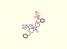 CC(C)(N)C(=O)N[C@H](COCc1ccccc1)C(=O)C1CCC2(CC1)CN(S(C)(=O)=O)c1ccccc12